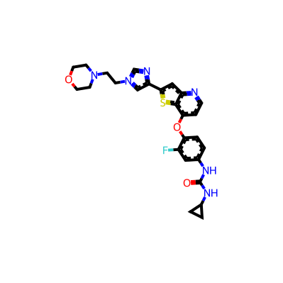 O=C(Nc1ccc(Oc2ccnc3cc(-c4cn(CCN5CCOCC5)cn4)sc23)c(F)c1)NC1CC1